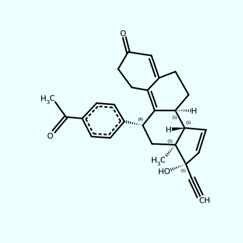 C#C[C@]1(O)C=C[C@H]2[C@@H]3CCC4=CC(=O)CCC4=C3[C@@H](c3ccc(C(C)=O)cc3)C[C@@]21C